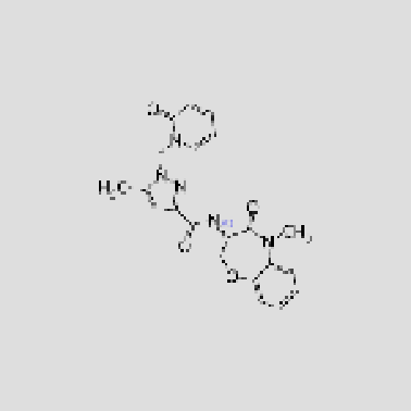 Cc1cc(C(=O)/N=C2\COc3ccccc3N(C)C2=O)nn1Cn1ccccc1=O